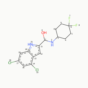 OC(NC1CCC(F)(F)CC1)c1cc2c(Cl)cc(Cl)cc2[nH]1